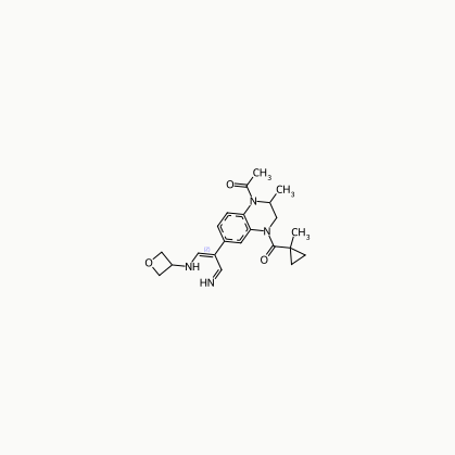 CC(=O)N1c2ccc(/C(C=N)=C/NC3COC3)cc2N(C(=O)C2(C)CC2)CC1C